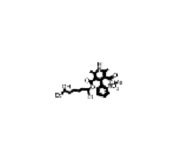 CCC(O)CCCCC(CC)OC(=O)C1=C(C)NC(C)=C(C(=O)OC)C1c1ccccc1[N+](=O)[O-]